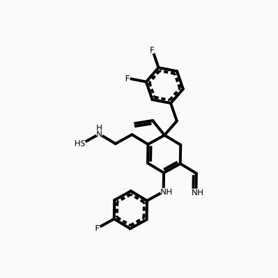 C=CC1(Cc2ccc(F)c(F)c2)CC(C=N)=C(Nc2ccc(F)cc2)C=C1CCNS